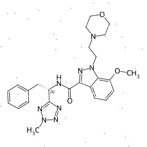 COc1cccc2c(C(=O)N[C@@H](Cc3ccccc3)c3nnn(C)n3)nn(CCN3CCOCC3)c12